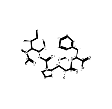 CC[C@H](C)C([C@@H](CC(=O)N1CCC[C@H]1[C@H](OC)[C@@H](C)C(=O)N[C@@H](Cc1ccccc1)C(=O)O)OC)N(C)C(C)=O